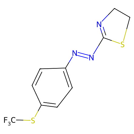 FC(F)(F)Sc1ccc(N=NC2=NCCS2)cc1